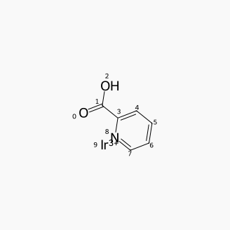 O=C(O)c1ccccn1.[Ir+3]